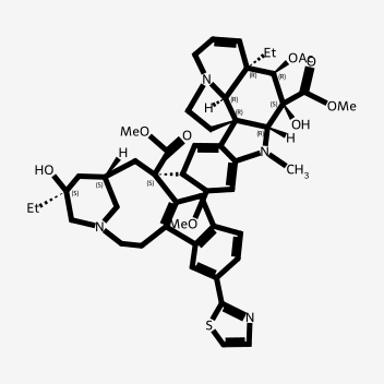 CC[C@]1(O)C[C@H]2CN(CCC3=C(Cc4ccc(-c5nccs5)cc43)[C@@](C(=O)OC)(C3C=C4C(=CC3OC)N(C)[C@H]3[C@@](O)(C(=O)OC)[C@H](OC(C)=O)[C@]5(CC)C=CCN6CC[C@]43[C@@H]65)C2)C1